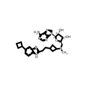 CN(C[C@H]1O[C@@H](n2cnc3c(N)ncnc32)[C@H](O)[C@@H]1O)C1CC(CCc2nc3cc(C4CCC4)ccc3[nH]2)C1